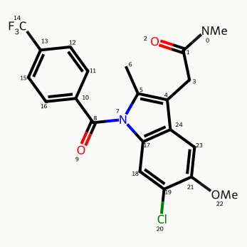 CNC(=O)Cc1c(C)n(C(=O)c2ccc(C(F)(F)F)cc2)c2cc(Cl)c(OC)cc12